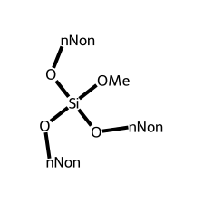 CCCCCCCCCO[Si](OC)(OCCCCCCCCC)OCCCCCCCCC